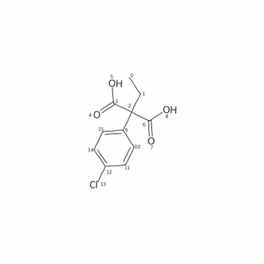 CCC(C(=O)O)(C(=O)O)c1ccc(Cl)cc1